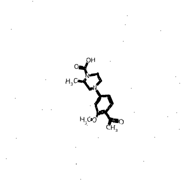 COc1cc(N2CCN(C(=O)O)C(C)C2)ccc1C(C)=O